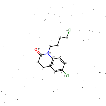 O=C1CCc2cc(Cl)ccc2N1CCCCCl